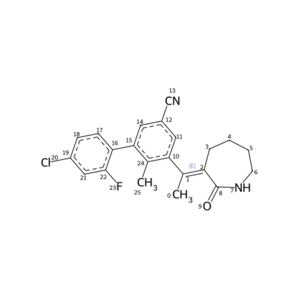 C/C(=C1/CCCCNC1=O)c1cc(C#N)cc(-c2ccc(Cl)cc2F)c1C